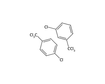 Clc1ccc(C(Cl)(Cl)Cl)cc1.Clc1cccc(C(Cl)(Cl)Cl)c1